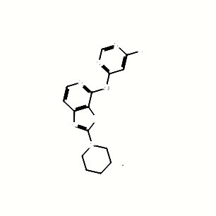 Nc1cc(Nc2nccc3nc(N4CCC[C@@H](Cl)C4)sc23)ncn1